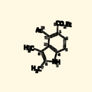 CCOC(=O)c1ccc2[nH]c(C)c(C)c2c1C(C)=O